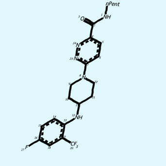 CCCCCNC(=O)c1ccc(N2CCC(Nc3ccc(F)cc3C(F)(F)F)CC2)nn1